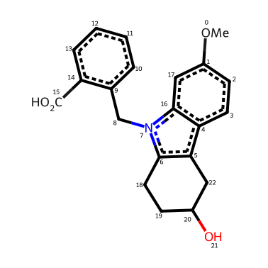 COc1ccc2c3c(n(Cc4ccccc4C(=O)O)c2c1)CCC(O)C3